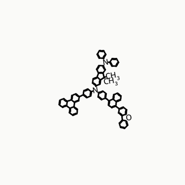 CC1(C)c2cc(N(c3ccccc3)c3ccccc3)ccc2-c2ccc(N(c3ccc(-c4ccc5c6ccccc6c6ccccc6c5c4)cc3)c3ccc(-c4ccc(-c5ccc6oc7ccccc7c6c5)c5ccccc45)cc3)cc21